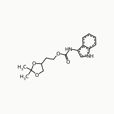 CC1(C)OCC(CCOC(=O)Nc2c[nH]c3ccccc23)O1